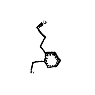 [CH]=CCCc1ccccc1CC(C)C